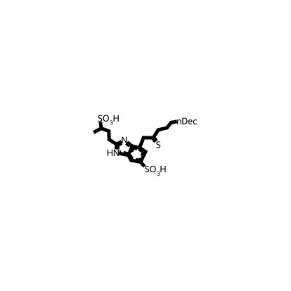 CCCCCCCCCCCCCC(=S)Cc1cc(S(=O)(=O)O)cc2[nH]c(CCC(C)S(=O)(=O)O)nc12